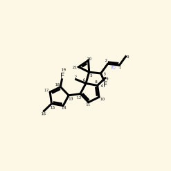 C/C=C/C(F)C1(C2(C)C(C)=CC=C2C2C=C(C)C=C2F)C=C1